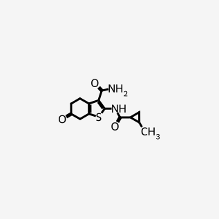 CC1CC1C(=O)Nc1sc2c(c1C(N)=O)CCC(=O)C2